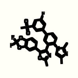 Cc1cn(-c2ccc(-c3cc(F)cc(S(C)(=O)=O)c3)cc2-c2nc(C)oc2-c2ccc3c(c2)OC(F)(F)O3)c(C)n1